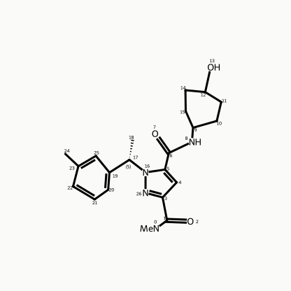 CNC(=O)c1cc(C(=O)NC2CCC(O)CC2)n([C@@H](C)c2cccc(C)c2)n1